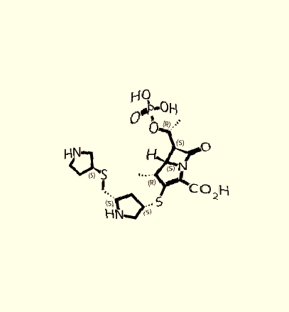 C[C@@H](OP(=O)(O)O)[C@H]1C(=O)N2C(C(=O)O)=C(S[C@@H]3CN[C@H](CS[C@H]4CCNC4)C3)[C@H](C)[C@H]12